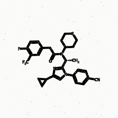 C[C@H](c1nc(C2CC2)cn1-c1ccc(C#N)cc1)N(C(=O)Cc1ccc(F)c(C(F)(F)F)c1)C1CCSCC1